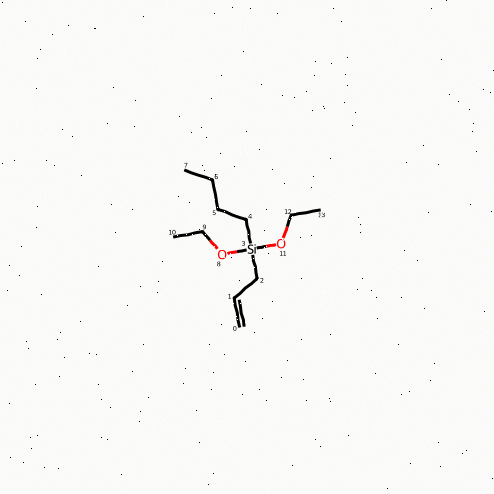 C=CC[Si](CCCC)(OCC)OCC